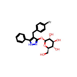 CC(C)c1ccc(Cc2c(O[C@@H]3O[C@H](CO)[C@@H](O)[C@H](O)[C@H]3O)n[nH]c2-c2ccccc2)cc1